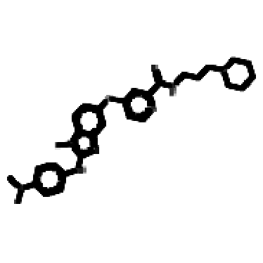 CN(C)c1ccc(Nc2nc3cc(Oc4ccnc(C(=O)NCCCN5CCCCC5)c4)ccc3n2C)cc1